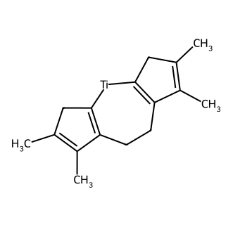 CC1=C(C)C2=[C](C1)[Ti][C]1=C(CC2)C(C)=C(C)C1